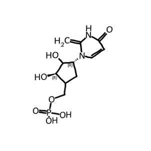 C=C1NC(=O)C=CN1[C@@H]1CC(COP(=O)(O)O)[C@@H](O)C1O